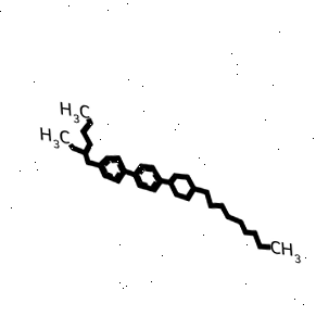 CCCCCCCCCC1CCC(c2ccc(-c3ccc(CC(CC)CCCC)cc3)cc2)CC1